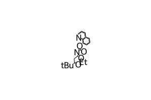 CCOC(CC(=O)C(C)(C)C)=NC(=O)Oc1cccc2cccnc12